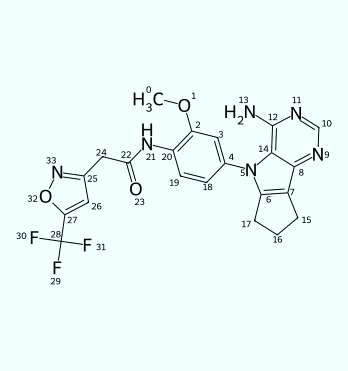 COc1cc(-n2c3c(c4ncnc(N)c42)CCC3)ccc1NC(=O)Cc1cc(C(F)(F)F)on1